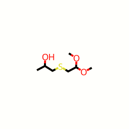 COC(CSCC(C)O)OC